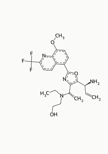 C=C[C@H](N)c1oc(-c2ccc(OC)c3nc(C(F)(F)F)ccc23)nc1C(=C)N(CC)CCO